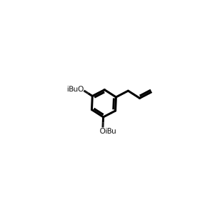 C=CCc1cc(OCC(C)C)cc(OCC(C)C)c1